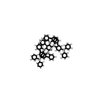 c1ccc(N(c2ccccc2)c2ccc3c(c2)c2ccccc2n3-c2nc(-n3c4ccccc4c4cc(N(c5ccccc5)c5ccccc5)ccc43)c(-n3c4ccccc4c4ccccc43)c(-c3ccncc3)c2-n2c3ccccc3c3ccccc32)cc1